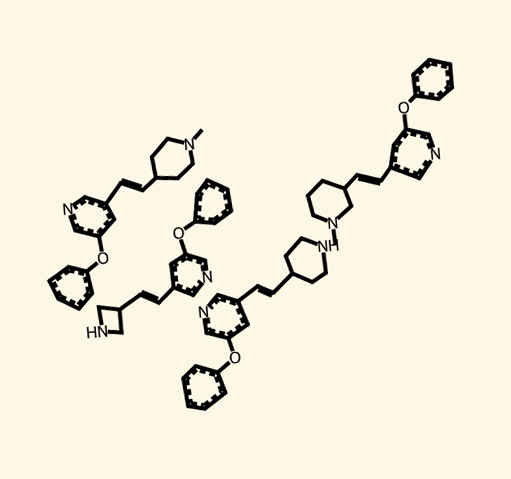 C(=C\C1CCNCC1)/c1cncc(Oc2ccccc2)c1.C(=C\C1CNC1)/c1cncc(Oc2ccccc2)c1.CN1CCC(/C=C/c2cncc(Oc3ccccc3)c2)CC1.CN1CCCC(/C=C/c2cncc(Oc3ccccc3)c2)C1